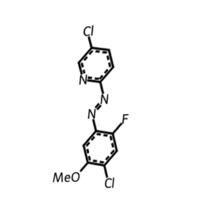 COc1cc(N=Nc2ccc(Cl)cn2)c(F)cc1Cl